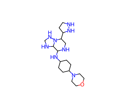 C1CC(C2CNC(NC3CCC(N4CCOCC4)CC3)C3NCNN23)NN1